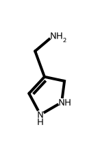 NCC1=CNNC1